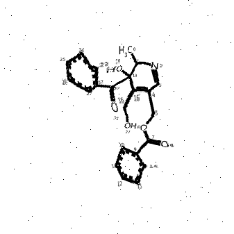 CC1N=CC(COC(=O)c2ccccc2)=C(CO)C1(O)C(=O)c1ccccc1